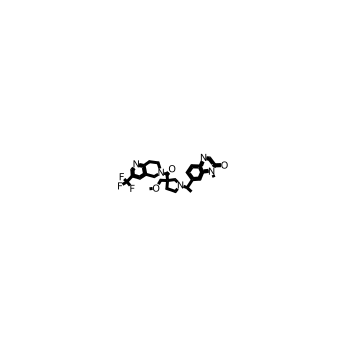 COCC1(C(=O)N2CCc3ncc(C(F)(F)F)cc3C2)CCN(C(C)c2ccc3ncc(=O)n(C)c3c2)C1